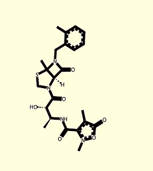 Cc1ccccc1CN1C(=O)[C@H]2N(C(=O)[C@@H](O)[C@H](C)NC(=O)c3c(C)c(=O)on3C)CSC21C